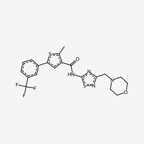 Cc1sc(-c2cccc(C(F)(F)F)c2)cc1C(=O)Nc1nc(CN2CCOCC2)ns1